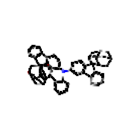 c1ccc(-c2ccccc2N(c2ccc3c(c2)-c2ccccc2C32C3CCC4CC(C3)CC2C4)c2ccc3c(c2)C2(c4ccccc4-3)C3CCC4CC(C3)CC2C4)cc1